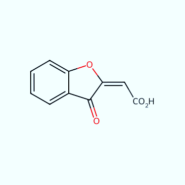 O=C(O)C=C1Oc2ccccc2C1=O